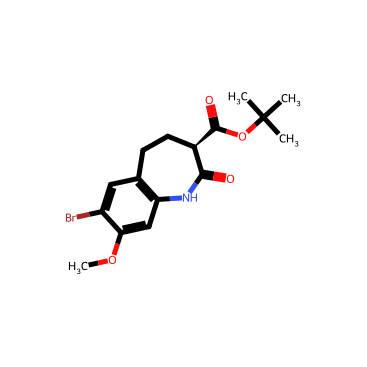 COc1cc2c(cc1Br)CC[C@@H](C(=O)OC(C)(C)C)C(=O)N2